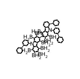 Bc1c(B)c(B)c2c(c1B)c1c(B)c(-c3c(B)c(B)c4c(c3B)c3cccc(-c5ccccc5)c3n4-c3cccc(-c4ccccc4)c3)c(B)c(B)c1n2-c1cccc(-c2ccccc2)c1